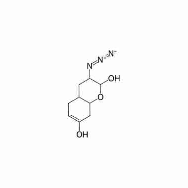 [N-]=[N+]=NC1CC2CC=C(O)CC2OC1O